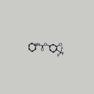 O=C(Nc1ccccc1)Oc1ccc(C(F)(F)F)c(Cl)c1